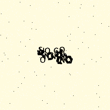 O=C(O)c1c(N2CCN(C(=O)c3ccsc3)CC2)c2cccnc2n(Cc2ccccc2)c1=O